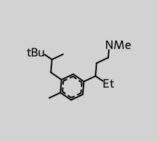 CCC(CCNC)c1ccc(C)c(CC(C)C(C)(C)C)c1